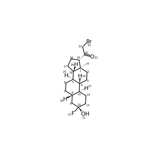 C[C@]12CC[C@H]3[C@@H](CC[C@H]4C[C@@](O)(F)CC[C@@H]43)[C@@H]1CC[C@@H]2C(=O)CBr